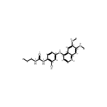 CCCNC(=O)Nc1ccc(Oc2ccnc3cc(OC)c(OC)cc23)cc1Cl